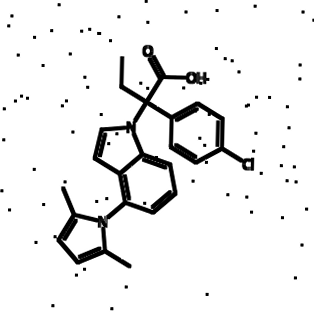 CCC(C(=O)O)(c1ccc(Cl)cc1)n1ccc2c(-n3c(C)ccc3C)cccc21